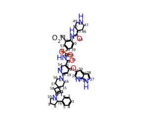 CC(C)c1ccccc1C1CCCN1C1CC2(CCN(c3cc(Oc4cnc5[nH]ccc5c4)c(C(=O)NS(=O)(=O)c4ccc(NC(=O)C5CCNCC5)c([N+](=O)[O-])c4)cn3)CC2)C1